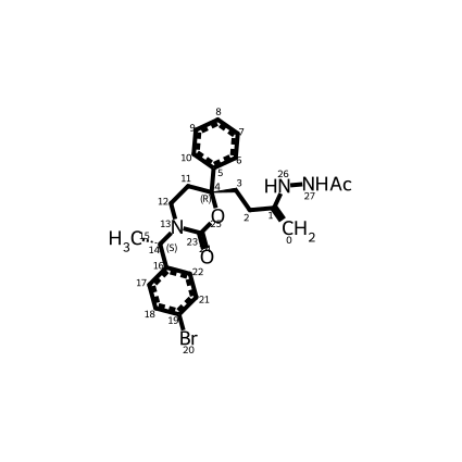 C=C(CC[C@]1(c2ccccc2)CCN([C@@H](C)c2ccc(Br)cc2)C(=O)O1)NNC(C)=O